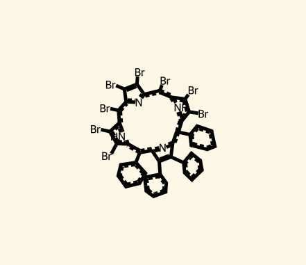 BrC1=C(Br)c2nc1c(Br)c1[nH]c(c(Br)c1Br)c(-c1ccccc1)c1nc(c(-c3ccccc3)c3[nH]c(c2Br)c(Br)c3Br)C(c2ccccc2)=C1c1ccccc1